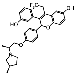 C[C@@H]1CCN([C@@H](C)COc2ccc(C3Oc4ccc(O)cc4C(CC(F)(F)F)=C3c3cccc(O)c3)cc2)C1